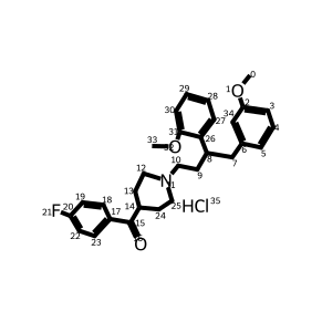 COc1cccc(CC(CCN2CCC(C(=O)c3ccc(F)cc3)CC2)c2ccccc2OC)c1.Cl